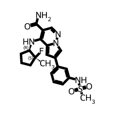 C[C@]1(F)CCC[C@H]1Nc1c(C(N)=O)cnn2cc(-c3cccc(NS(C)(=O)=O)c3)cc12